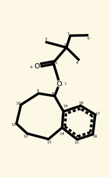 CCC(C)(C)C(=O)OC1CCCCCc2ccccc21